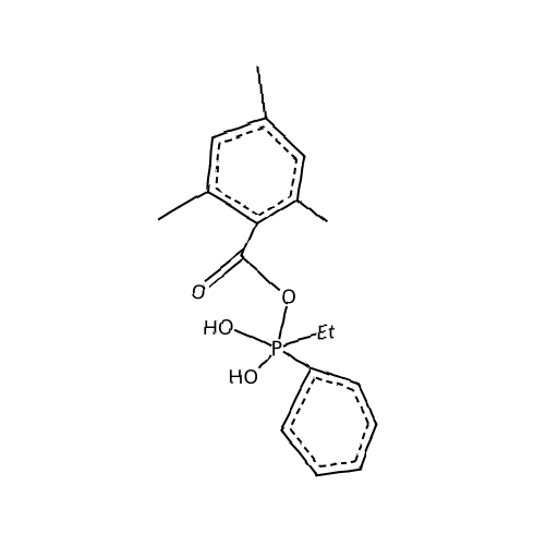 CCP(O)(O)(OC(=O)c1c(C)cc(C)cc1C)c1ccccc1